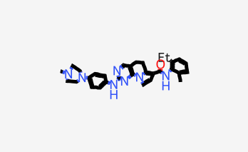 CCc1cccc(C)c1NC(=O)c1ccn2c1CCc1cnc(Nc3ccc(N4CCN(C)CC4)cc3)nc1-2